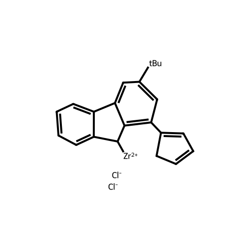 CC(C)(C)c1cc(C2=CC=CC2)c2c(c1)-c1ccccc1[CH]2[Zr+2].[Cl-].[Cl-]